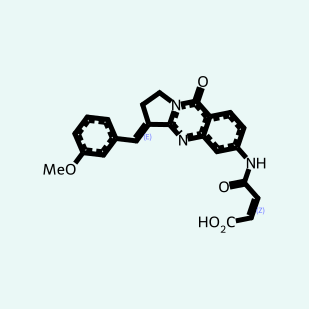 COc1cccc(/C=C2\CCn3c2nc2cc(NC(=O)/C=C\C(=O)O)ccc2c3=O)c1